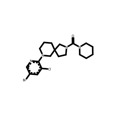 O=C(N1CCCCC1)N1CCC2(CCCN(c3ncc(Br)cc3Cl)C2)C1